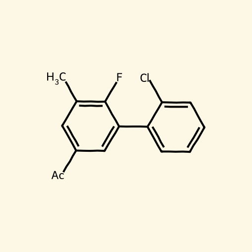 CC(=O)c1cc(C)c(F)c(-c2ccccc2Cl)c1